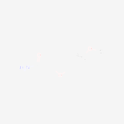 CCOc1ccc2c(c1)CC(CC(N)=O)O2